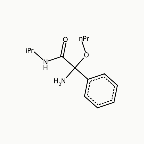 CCCOC(N)(C(=O)NC(C)C)c1ccccc1